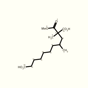 COC(=O)C(C)(CC(C)CCCCCCC(=O)O)C(=O)O